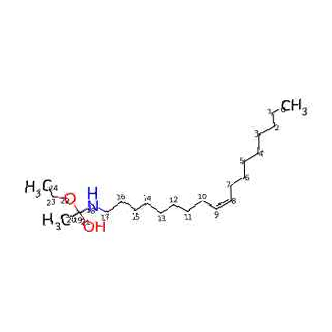 CCCCCCCC/C=C\CCCCCCCCNC(C)(O)OCC